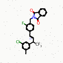 Cc1cc(Cl)cc(C(/C=C/c2ccc(CN3C(=O)c4ccccc4C3=O)c(F)c2)C(F)(F)F)c1